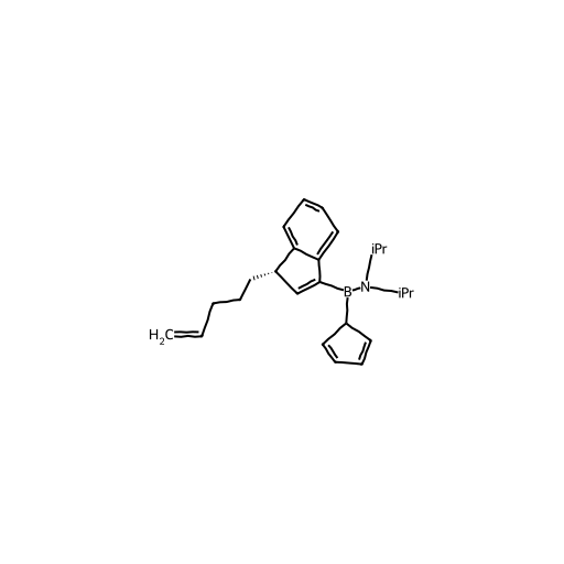 C=CCCC[C@H]1C=C(B(C2C=CC=C2)N(C(C)C)C(C)C)c2ccccc21